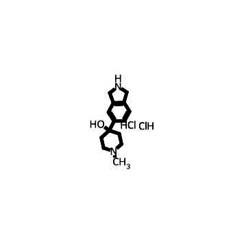 CN1CCC(O)(c2ccc3c(c2)CNC3)CC1.Cl.Cl